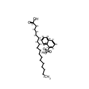 CCCCCCCCCCCCCCCCCC(=O)O.O=S(=O)(O)c1cccc2ccccc12